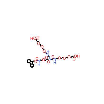 O=C(O)CCOCCOCCOCCNC(=O)CN(CC(=O)NCCOCCOCCOCCC(=O)O)C(=O)CCOCCNC(=O)OCC1c2ccccc2-c2ccccc21